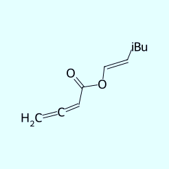 C=C=CC(=O)OC=CC(C)CC